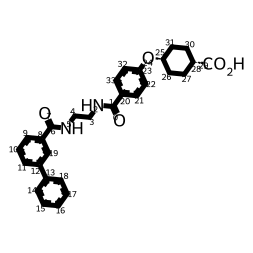 O=C(NCCNC(=O)c1cccc(-c2ccccc2)c1)c1ccc(O[C@H]2CC[C@@H](C(=O)O)CC2)cc1